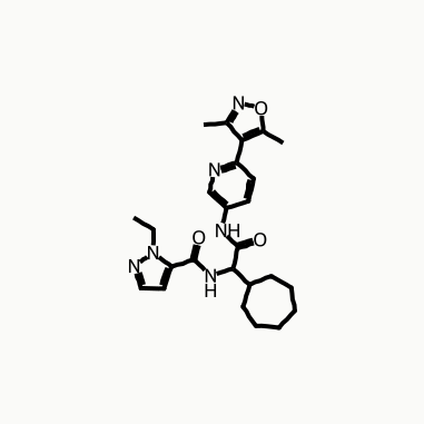 CCn1nccc1C(=O)NC(C(=O)Nc1ccc(-c2c(C)noc2C)nc1)C1CCCCCC1